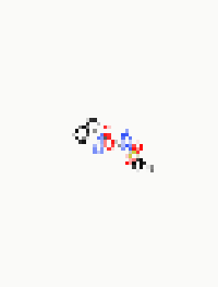 C=CS(=O)(=O)NCCOC(=O)Nc1cccc2ccccc12